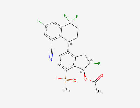 CC(=O)O[C@H]1c2c(S(C)(=O)=O)ccc([C@H]3CCC(F)(F)c4cc(F)cc(C#N)c43)c2C[C@H]1F